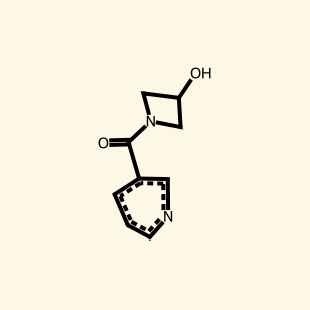 O=C(c1cc[c]nc1)N1CC(O)C1